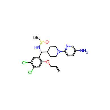 C=CCOc1cc(Cl)c(Cl)cc1[C@H](N[S+]([O-])C(C)(C)C)C1CCN(c2ccc(N)cn2)CC1